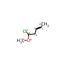 CC=CCC(Cl)OC